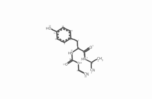 CC(C#N)NC(=O)C(Cc1ccc(O)cc1)NC(=O)OCC#N